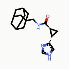 O=C(NCC12CC3CC(CC(C3)C1)C2)[C@H]1C[C@@H]1c1c[nH]cn1